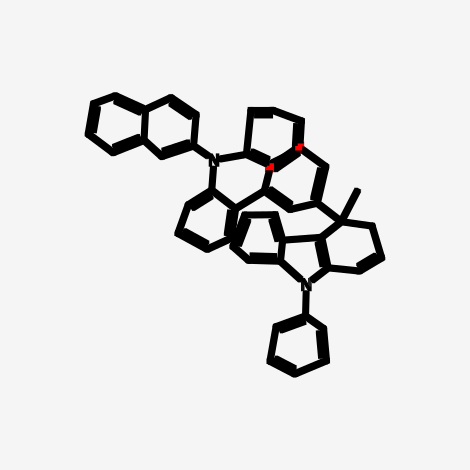 CC1(c2cccc(-c3ccccc3N(c3ccccc3)c3ccc4ccccc4c3)c2)CC=Cc2c1c1ccccc1n2-c1ccccc1